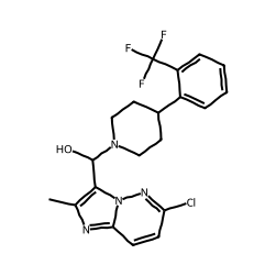 Cc1nc2ccc(Cl)nn2c1C(O)N1CCC(c2ccccc2C(F)(F)F)CC1